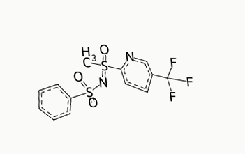 CS(=O)(=NS(=O)(=O)c1ccccc1)c1ccc(C(F)(F)F)cn1